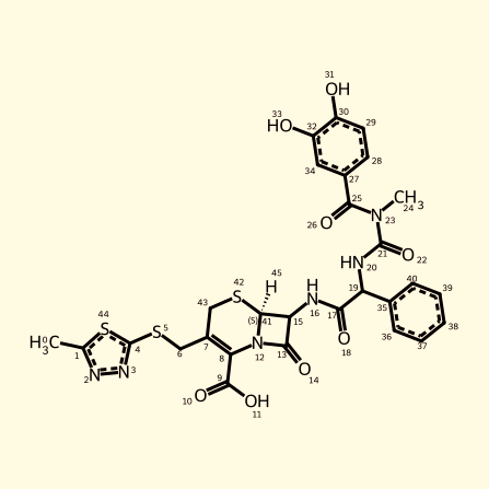 Cc1nnc(SCC2=C(C(=O)O)N3C(=O)C(NC(=O)C(NC(=O)N(C)C(=O)c4ccc(O)c(O)c4)c4ccccc4)[C@@H]3SC2)s1